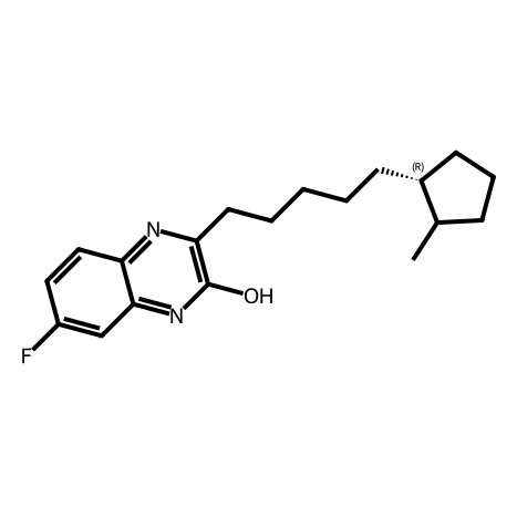 CC1CCC[C@H]1CCCCCc1nc2ccc(F)cc2nc1O